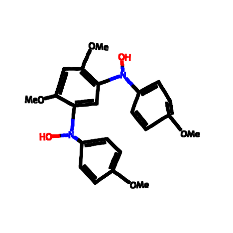 COc1ccc(N(O)c2cc(N(O)c3ccc(OC)cc3)c(OC)cc2OC)cc1